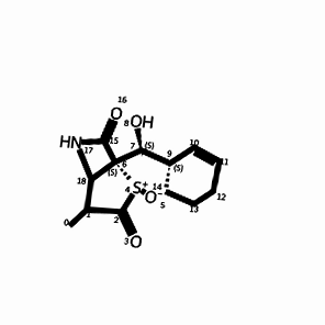 CC1C(=O)[S+]([O-])[C@@]2([C@@H](O)[C@@H]3C=CCCC3)C(=O)NC12